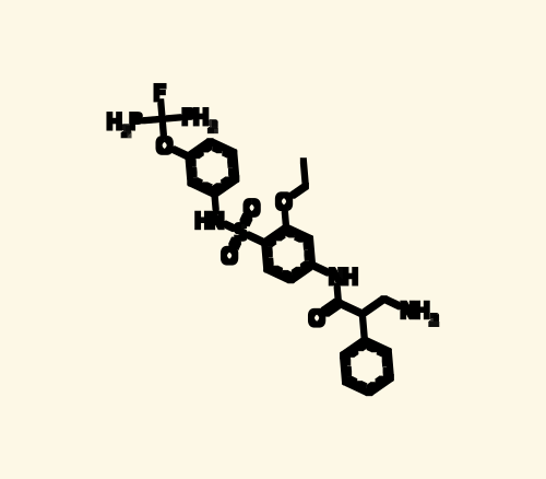 CCOc1cc(NC(=O)C(CN)c2ccccc2)ccc1S(=O)(=O)Nc1cccc(OC(F)(P)P)c1